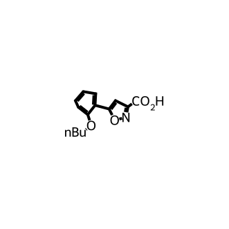 CCCCOc1ccccc1-c1cc(C(=O)O)no1